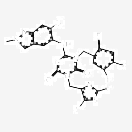 Cn1cc2cc(Nc3nc(=O)n(Cc4nc(F)sc4F)c(=O)n3Cc3cc(F)c(F)cc3F)c(Cl)cc2n1